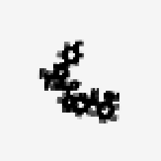 CC1CCC(n2cc(NC(=O)c3cnn4ccc(N[C@H]5CCCC[C@H]5O)nc34)c(C(F)F)n2)CC1